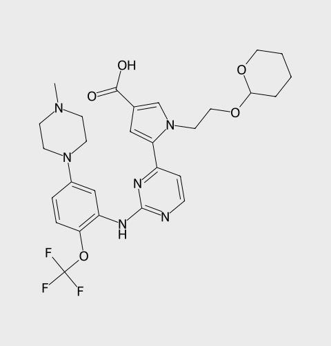 CN1CCN(c2ccc(OC(F)(F)F)c(Nc3nccc(-c4cc(C(=O)O)cn4CCOC4CCCCO4)n3)c2)CC1